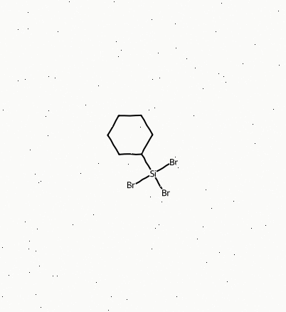 Br[Si](Br)(Br)C1CCCCC1